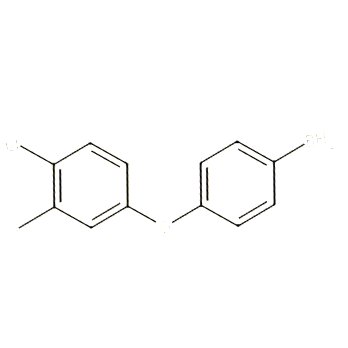 Bc1ccc(Oc2ccc(Cl)c(C)c2)cc1